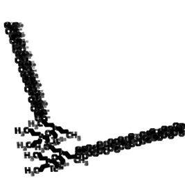 CCCCP(CCCC)C([CH2][Tc+5])OC([CH2][Tc+5])P(CCCC)CCCC.CCCCP(CCCC)C([CH2][Tc+5])OC([CH2][Tc+5])P(CCCC)CCCC.[O-][Cl+3]([O-])([O-])[O-].[O-][Cl+3]([O-])([O-])[O-].[O-][Cl+3]([O-])([O-])[O-].[O-][Cl+3]([O-])([O-])[O-].[O-][Cl+3]([O-])([O-])[O-].[O-][Cl+3]([O-])([O-])[O-].[O-][Cl+3]([O-])([O-])[O-].[O-][Cl+3]([O-])([O-])[O-].[O-][Cl+3]([O-])([O-])[O-].[O-][Cl+3]([O-])([O-])[O-].[O-][Cl+3]([O-])([O-])[O-].[O-][Cl+3]([O-])([O-])[O-].[O-][Cl+3]([O-])([O-])[O-].[O-][Cl+3]([O-])([O-])[O-].[O-][Cl+3]([O-])([O-])[O-].[O-][Cl+3]([O-])([O-])[O-].[O-][Cl+3]([O-])([O-])[O-].[O-][Cl+3]([O-])([O-])[O-].[O-][Cl+3]([O-])([O-])[O-].[O-][Cl+3]([O-])([O-])[O-]